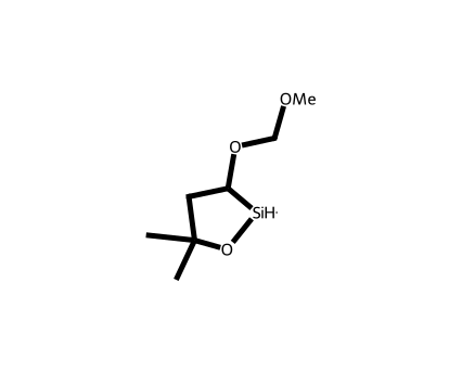 COCOC1CC(C)(C)O[SiH]1